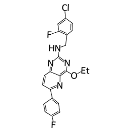 CCOc1nc(NCc2ccc(Cl)cc2F)nc2ccc(-c3ccc(F)cc3)nc12